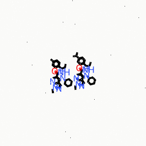 CCC(NC(=O)c1cnc2c(cnn2CC)c1NC1CCCCC1)c1ccc(C(C)C)cc1.CCC(NC(=O)c1cnc2c(cnn2CC)c1NC1CCCCC1)c1ccc(C)cc1